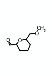 COCC1CCCC(C=O)O1